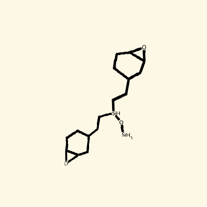 [SiH3]O[SiH](CCC1CCC2OC2C1)CCC1CCC2OC2C1